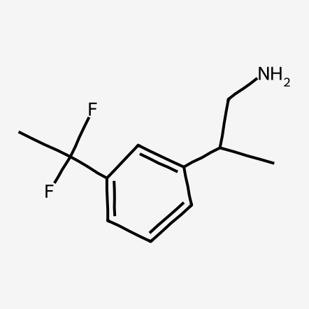 CC(CN)c1cccc(C(C)(F)F)c1